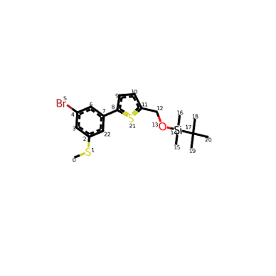 CSc1cc(Br)cc(-c2ccc(CO[Si](C)(C)C(C)(C)C)s2)c1